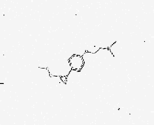 COON1C=C1c1ccc(OCCN(C)C)cc1